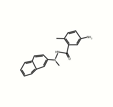 Cc1ccc(N)cc1C(=O)NN(C)c1ccc2ccccc2c1